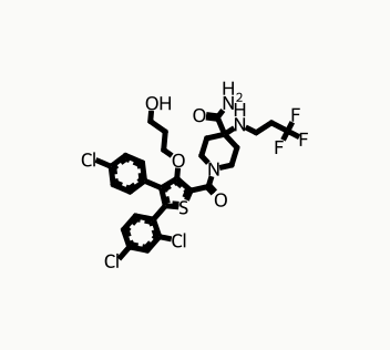 NC(=O)C1(NCCC(F)(F)F)CCN(C(=O)c2sc(-c3ccc(Cl)cc3Cl)c(-c3ccc(Cl)cc3)c2OCCCO)CC1